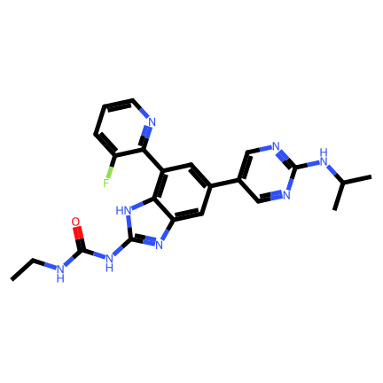 CCNC(=O)Nc1nc2cc(-c3cnc(NC(C)C)nc3)cc(-c3ncccc3F)c2[nH]1